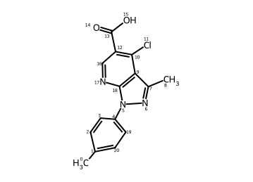 Cc1ccc(-n2nc(C)c3c(Cl)c(C(=O)O)cnc32)cc1